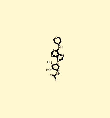 CCC(=O)N[C@H]1C[C@@H](n2cnc3c(NC4CCOCC4)ncnc32)[C@H](O)[C@@H]1O